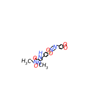 CCCn1c(=O)c2[nH]c(-c3ccc(S(=O)(=O)N4CCN(Cc5ccc6c(c5)OCO6)CC4)cc3)cc2n(C)c1=O